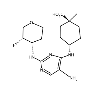 C[C@]1(C(=O)O)CC[C@H](Nc2nc(N[C@H]3CCOC[C@H]3F)ncc2N)CC1